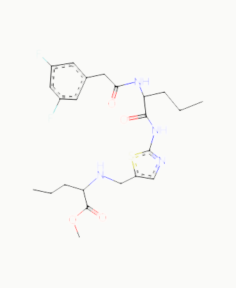 CCCC(NC(=O)Cc1cc(F)cc(F)c1)C(=O)Nc1ncc(CNC(CCC)C(=O)OC)s1